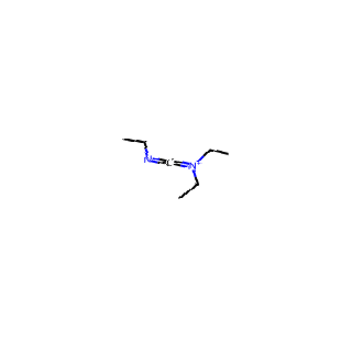 CCN=C=[N+](CC)CC